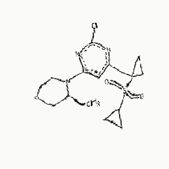 C[C@H]1COCCN1c1cc(C2(S(=O)(=O)C3CC3)CC2)nc(Cl)n1